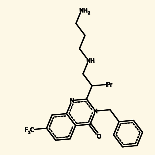 CC(C)C(CNCCCN)c1nc2cc(C(F)(F)F)ccc2c(=O)n1Cc1ccccc1